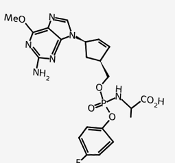 COc1nc(N)nc2c1ncn2[C@H]1C=C[C@@H](COP(=O)(NC(C)C(=O)O)Oc2ccc(F)cc2)C1